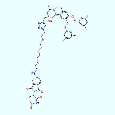 Cc1cc(C)cc(COc2cc3c(cc2OCc2cc(C)cc(C)c2)C2CC(O)(Cc4cn(CCOCCOCCOCCNc5ccc6c(c5)C(=O)N(C5CCC(=O)NC5=O)C6=O)nn4)CC(C)N2CC3)c1